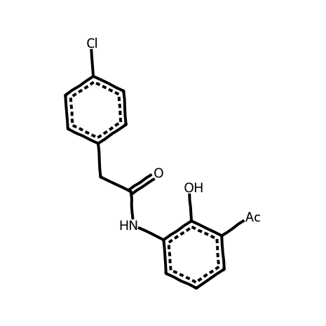 CC(=O)c1cccc(NC(=O)Cc2ccc(Cl)cc2)c1O